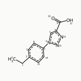 CCc1ccc(-n2cc(C(=O)O)nn2)cc1